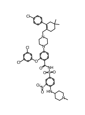 CN1CCC(Nc2ccc(S(=O)(=O)NC(=O)c3ccc(N4CCN(CC5=C(c6ccc(Cl)cc6)CC(C)(C)CC5)CC4)cc3Oc3cc(Cl)cc(Cl)c3)cc2[N+](=O)[O-])CC1